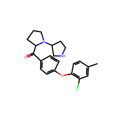 Cc1ccc(Oc2ccc(C(=O)C3CCCN3C3CCNC3)cc2)c(Cl)c1